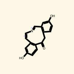 O=C1Cc2ccc(O)cc2/C=N/C=C\c2cc(O)ccc21